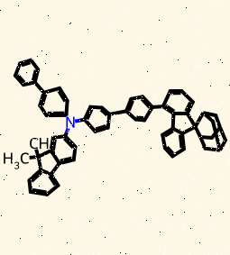 CC1(C)c2ccccc2-c2ccc(N(c3ccc(-c4ccccc4)cc3)c3ccc(-c4ccc(-c5cccc6c5-c5ccccc5C65C6CC7CC(C6)CC5C7)cc4)cc3)cc21